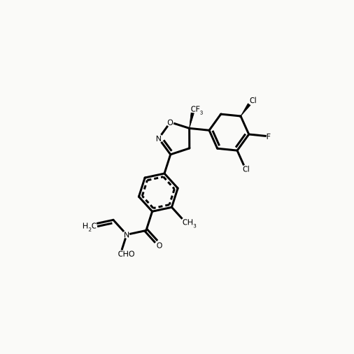 C=CN(C=O)C(=O)c1ccc(C2=NO[C@@](C3=CC(Cl)=C(F)[C@H](Cl)C3)(C(F)(F)F)C2)cc1C